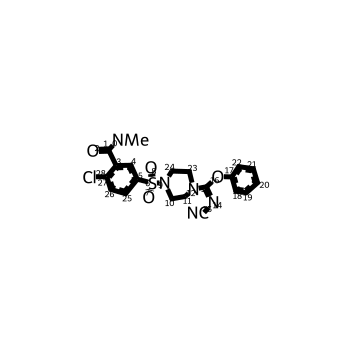 CNC(=O)c1cc(S(=O)(=O)N2CCN(/C(=N\C#N)Oc3ccccc3)CC2)ccc1Cl